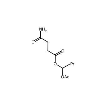 CC(=O)OC(OC(=O)CCC(N)=O)C(C)C